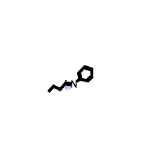 CCC/[C]=N/c1ccccc1